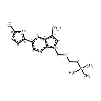 C[Si](C)(C)CCOCn1cc(C(=O)O)c2nc(-c3cnc(Cl)s3)cnc21